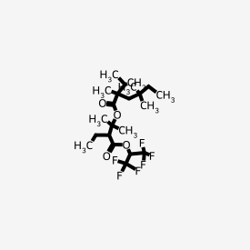 CCC(C(=O)OC(C(F)(F)F)C(F)(F)F)C(C)(C)OC(=O)C(C)(CC(C)(C)CC)C(C)C